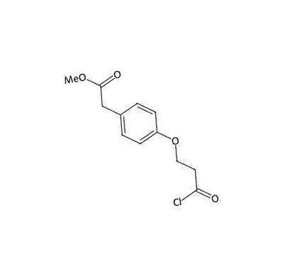 COC(=O)Cc1ccc(OCCC(=O)Cl)cc1